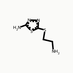 NCCSc1nnc(N)s1